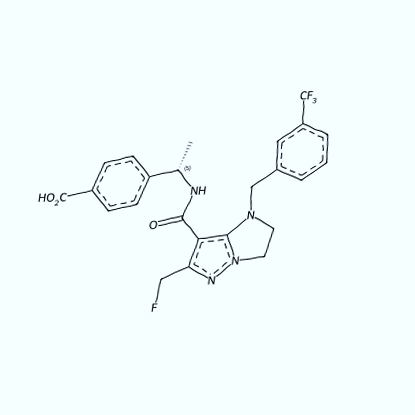 C[C@H](NC(=O)c1c(CF)nn2c1N(Cc1cccc(C(F)(F)F)c1)CC2)c1ccc(C(=O)O)cc1